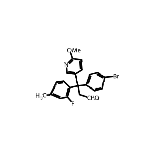 COc1ccc(C(CC=O)(c2ccc(Br)cc2)c2ccc(C)cc2F)cn1